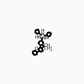 CC1(C)c2ccc3c(oc4ccccc43)c2C2C=CC(C3NC(c4ccccc4)NC(c4ccccc4)N3)=CC21